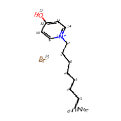 CCCCCCCCCCCCCCCC[n+]1ccc(O)cc1.[Br-]